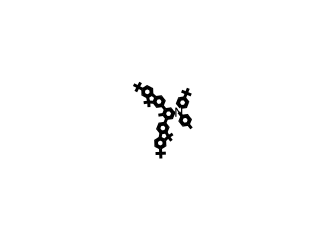 Cc1ccc(N(c2ccc(C(C)(C)C)cc2)c2cc(-c3ccc4c(c3)C(C)(C)c3cc(C(C)(C)C)ccc3-4)c(C)c(-c3ccc4c(c3)C(C)(C)c3cc(C(C)(C)C)ccc3-4)c2)cc1